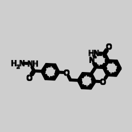 NNC(=O)c1ccc(OCc2ccc3c(c2)-c2n[nH]c(=O)c4cccc(c24)O3)cc1